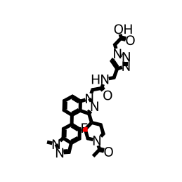 CC(=O)N1CCC(c2nn(CC(=O)NCc3cn(CC(=O)O)nn3)c3cccc(-c4cc5c(cnn5C)cc4F)c23)CC1